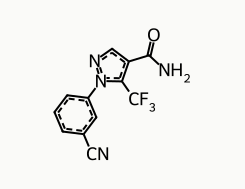 N#Cc1cccc(-n2ncc(C(N)=O)c2C(F)(F)F)c1